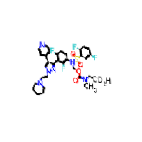 CN(CC(=O)O)C(=O)OCN(c1ccc(F)c(-c2nn(CCN3CCCCC3)cc2-c2ccncc2)c1F)S(=O)(=O)c1cc(F)ccc1F